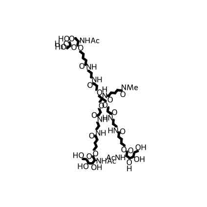 CNC(=O)CCCC(=O)NC(COCCC(=O)NCCCNC(=O)CCCCO[C@@H]1OC(CO)[C@@](C)(O)OC[C@@H]1NC(C)=O)(COCCC(=O)NCCCNC(=O)CCCCO[C@@H]1OC(CO)[C@H](O)C(O)[C@@H]1NC(C)=O)COCCC(=O)NCCCNC(=O)CCCCO[C@@H]1OC(CO)[C@H](O)C(O)[C@@H]1NC(C)=O